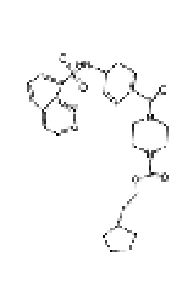 O=C(OCCC1CCCC1)N1CCN(C(=O)C2=CCC(NS(=O)(=O)c3cccc4cccnc34)C=C2)CC1